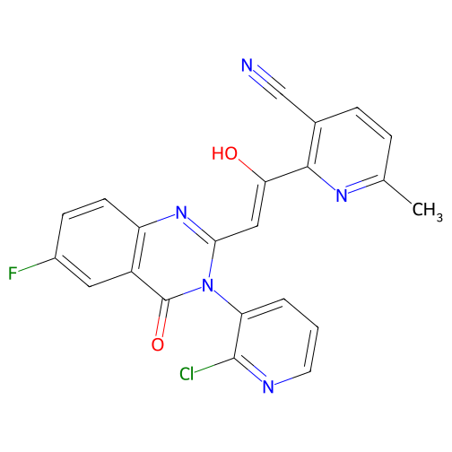 Cc1ccc(C#N)c(C(O)=Cc2nc3ccc(F)cc3c(=O)n2-c2cccnc2Cl)n1